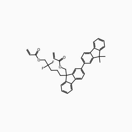 C=CC(=O)OCC(F)(F)CCCC1(COC(=O)C=C)c2ccccc2-c2ccc(-c3ccc4c(c3)C(C)(C)c3ccccc3-4)cc21